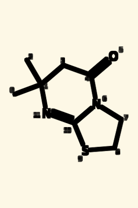 CC1(C)CC(=O)N2CCSC2=N1